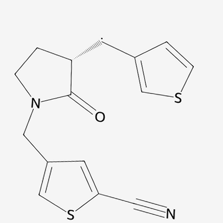 N#Cc1cc(CN2CC[C@H]([CH]c3ccsc3)C2=O)cs1